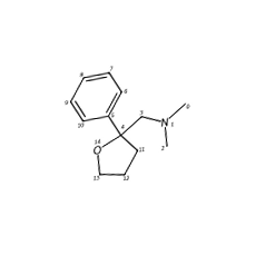 CN(C)CC1(c2ccccc2)CCCO1